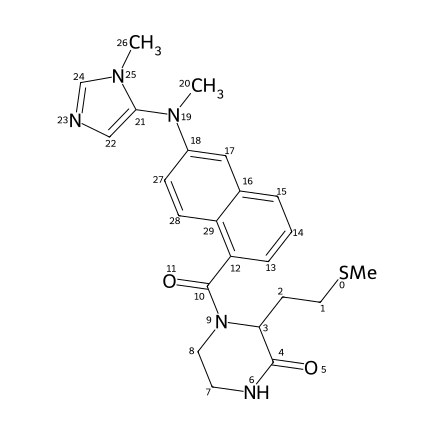 CSCCC1C(=O)NCCN1C(=O)c1cccc2cc(N(C)c3cncn3C)ccc12